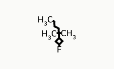 CCCCC(C)(C)C1CC(F)C1